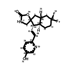 O=C1NCC2(C[C@@H]3CC(F)(F)CC[C@H]3[C@@H]2C=Cc2ccc(O)cn2)O1